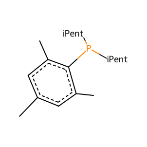 CCCC(C)P(c1c(C)cc(C)cc1C)C(C)CCC